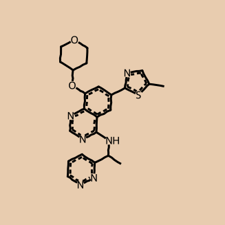 Cc1cnc(-c2cc(OC3CCOCC3)c3ncnc(NC(C)c4cccnn4)c3c2)s1